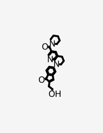 O=C1C(CCO)=Cc2cc(N3CCCc4cc(C(=O)N5CCCCC5)cnc43)ccc21